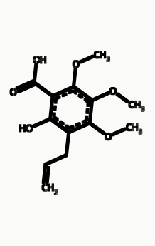 C=CCc1c(O)c(C(=O)O)c(OC)c(OC)c1OC